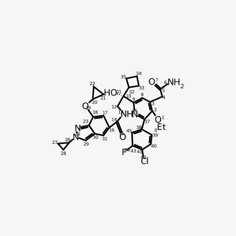 CCOc1c(CC(N)=O)cc([C@@](O)(CNC(=O)c2cc(OC3CC3)c3nn(C4CC4)cc3c2)C2CCC2)nc1-c1ccc(Cl)c(F)c1